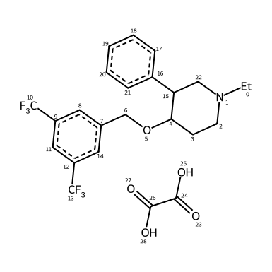 CCN1CCC(OCc2cc(C(F)(F)F)cc(C(F)(F)F)c2)C(c2ccccc2)C1.O=C(O)C(=O)O